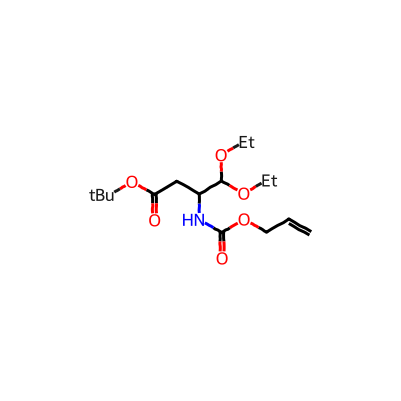 C=CCOC(=O)NC(CC(=O)OC(C)(C)C)C(OCC)OCC